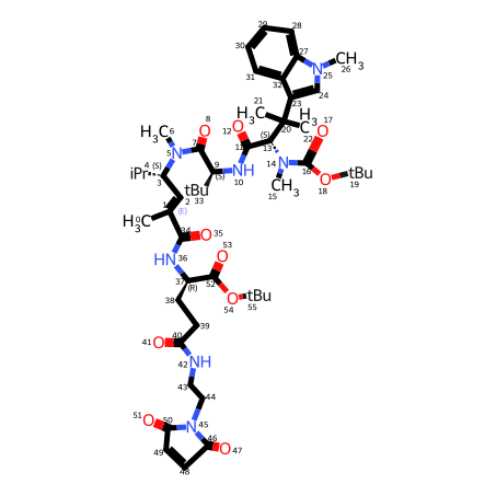 C/C(=C\[C@H](C(C)C)N(C)C(=O)[C@@H](NC(=O)[C@@H](N(C)C(=O)OC(C)(C)C)C(C)(C)c1cn(C)c2ccccc12)C(C)(C)C)C(=O)N[C@H](CCC(=O)NCCN1C(=O)C=CC1=O)C(=O)OC(C)(C)C